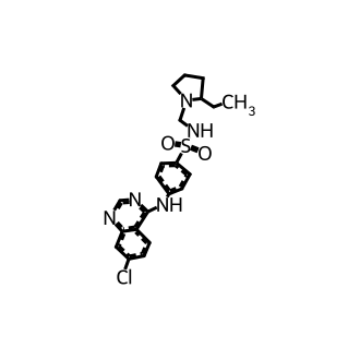 CCC1CCCN1CNS(=O)(=O)c1ccc(Nc2ncnc3cc(Cl)ccc23)cc1